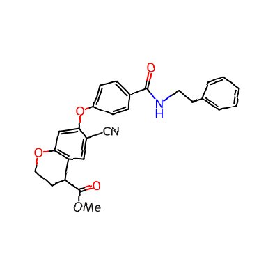 COC(=O)C1CCOc2cc(Oc3ccc(C(=O)NCCc4ccccc4)cc3)c(C#N)cc21